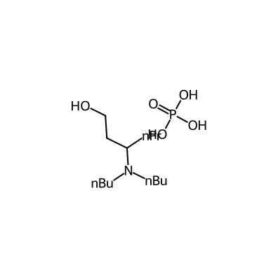 CCCCN(CCCC)C(CCC)CCO.O=P(O)(O)O